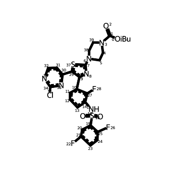 CC(C)COC(=O)N1CCN(c2nc(-c3cccc(NS(=O)(=O)c4cc(F)ccc4F)c3F)c(-c3ccnc(Cl)n3)s2)CC1